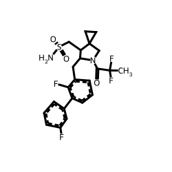 CC(F)(F)C(=O)N1CC2(CC2)C(CS(N)(=O)=O)C1Cc1cccc(-c2cccc(F)c2)c1F